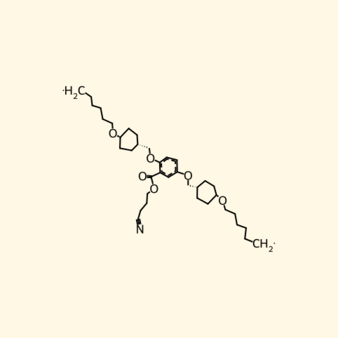 [CH2]CCCCCO[C@H]1CC[C@H](COc2ccc(OC[C@H]3CC[C@H](OCCCCC[CH2])CC3)c(C(=O)OCCCC#N)c2)CC1